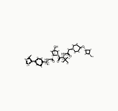 Cc1ncsc1-c1ccc([C@H](C)NC(=O)[C@@H]2C[C@@H](O)CN2C(=O)[C@@H](NC(=O)CN2CCC(O[C@H]3C[C@H](C)C3)CC2)C(C)(C)C)cc1